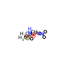 COC(=O)C1=C(C)NC(C)=C(C(=O)OCCN2CCN(C(c3ccccc3)c3ccccc3)CC2)C1c1ccccc1Cl